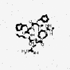 CCCC[C@@H](NC(=O)[C@@H](Cc1ccccc1)N(I)C(=O)[C@H](Cc1ccccc1)NC)C(=O)N[C@H](CNC(=N)N)C(=O)N1CCCN(C(=N)NC)CC1